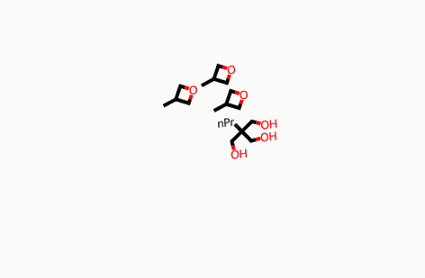 CC1COC1.CC1COC1.CC1COC1.CCCC(CO)(CO)CO